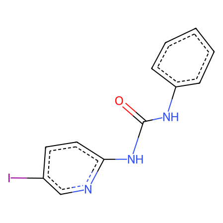 O=C(Nc1ccccc1)Nc1ccc(I)cn1